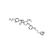 Cc1ccc(NC(=O)N2CC/C(=C\c3cccc(OCCCc4cnoc4)c3)C(C)C2)cn1